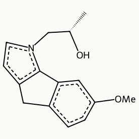 COc1ccc2c(c1)-c1c(ccn1C[C@H](C)O)C2